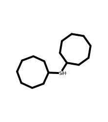 C1CCCC([SiH]C2CCCCCCC2)CCC1